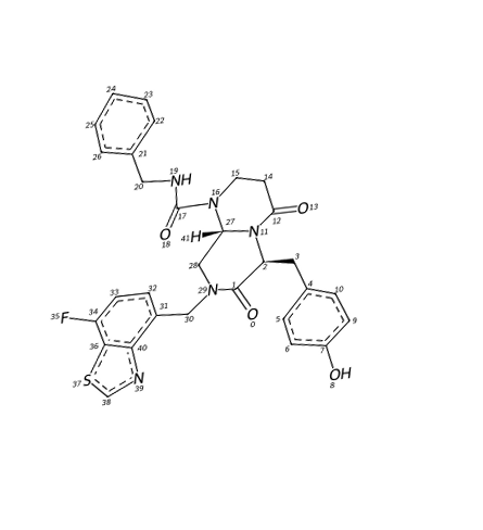 O=C1[C@H](Cc2ccc(O)cc2)N2C(=O)CCN(C(=O)NCc3ccccc3)[C@H]2CN1Cc1ccc(F)c2scnc12